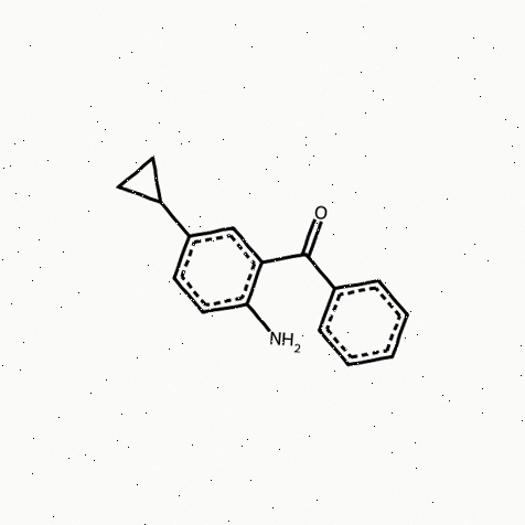 Nc1ccc(C2CC2)cc1C(=O)c1ccccc1